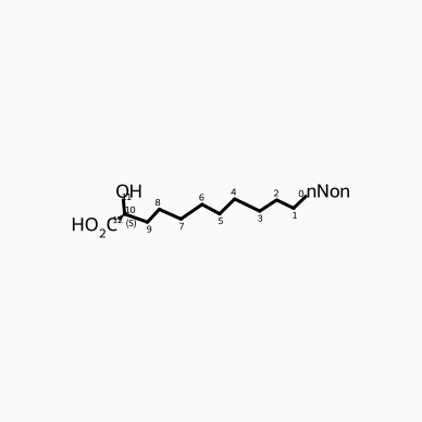 CCCCCCCCCCCCCCCCCC[C@H](O)C(=O)O